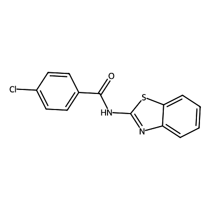 O=C(Nc1nc2ccccc2s1)c1ccc(Cl)cc1